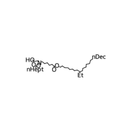 CCCCCCCCCCCCCCCCCC(CC)CCCCCCCCOC(=O)CCCCCN(CCO)OC(=O)CCCCCCC